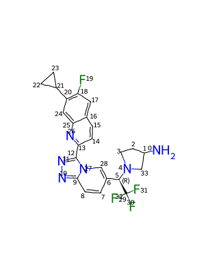 NC1CCN([C@H](c2ccc3nnc(-c4ccc5cc(F)c(C6CC6)cc5n4)n3c2)C(F)(F)F)C1